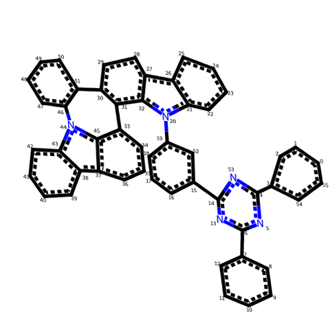 c1ccc(-c2nc(-c3ccccc3)nc(-c3cccc(-n4c5ccccc5c5ccc6c(c54)-c4cccc5c7ccccc7n(c45)-c4ccccc4-6)c3)n2)cc1